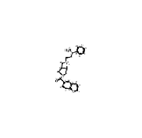 N[C@@H](CCN1CC2CN(C(=O)c3ccc4ncccc4c3)CC2C1)c1ccccc1